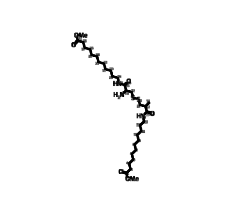 COC(=O)CCCCCCCCCCCNC(=O)C(C)CSSCC(N)C(=O)NCCCCCCCCCCCC(=O)OC